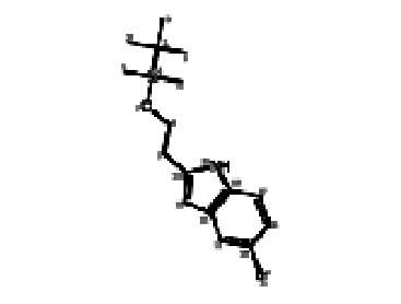 CC(C)(C)[Si](C)(C)OCCc1cc2cc(Br)ccc2[nH]1